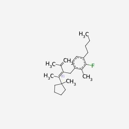 C=C(C)/C(Cc1ccc(CCCC)c(F)c1C)=C(\C)C1(C)CCCC1